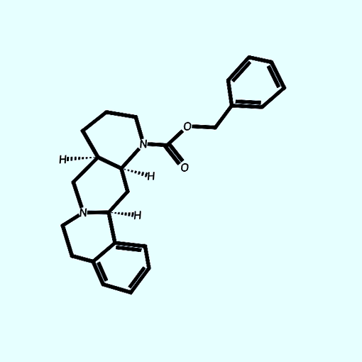 O=C(OCc1ccccc1)N1CCC[C@@H]2CN3CCc4ccccc4[C@@H]3C[C@@H]21